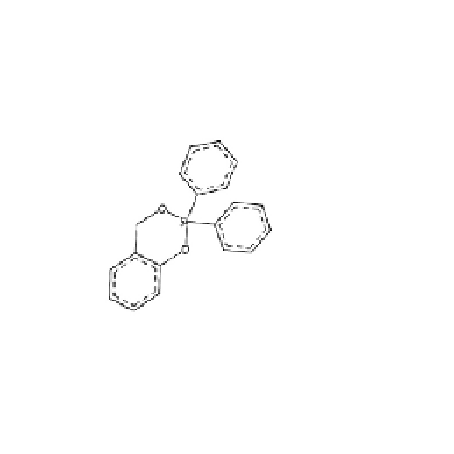 c1ccc([Si]2(c3ccccc3)OCc3ccccc3O2)cc1